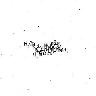 COCc1cnc(C(=O)Nc2ccc(F)c([C@@]3(C)N=C(N)OCC3(F)F)n2)c(N)c1